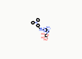 Nc1nc(N/N=C/c2ccc(N(c3ccccc3)c3ccccc3)cc2)nc2c1ncn2[C@@H]1O[C@H](CO)[C@@H](O)[C@H]1O